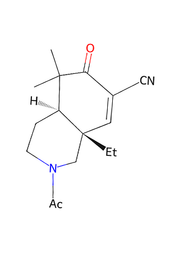 CC[C@]12C=C(C#N)C(=O)C(C)(C)[C@@H]1CCN(C(C)=O)C2